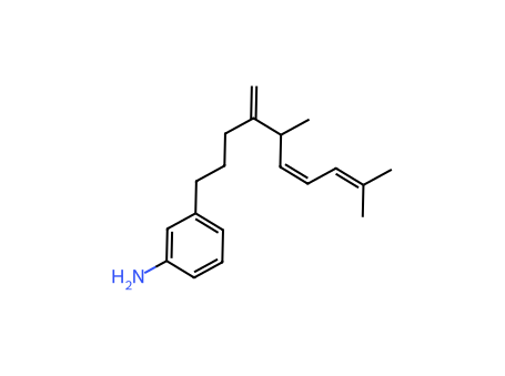 C=C(CCCc1cccc(N)c1)C(C)/C=C\C=C(C)C